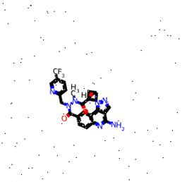 CN(C(=O)C12CC(C1)C2)N(Cc1ccc(C(F)(F)F)cn1)C(=O)c1ccc2nc(N)c3cnn(C)c3c2c1